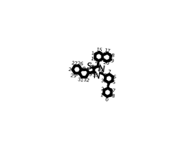 c1ccc(-c2cccc(-c3nc(-c4cccc5ccccc45)c4sc5c6ccccc6ccc5c4n3)c2)cc1